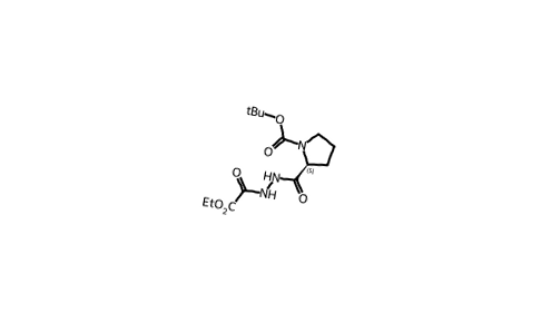 CCOC(=O)C(=O)NNC(=O)[C@@H]1CCCN1C(=O)OC(C)(C)C